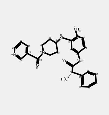 Cc1ccc(NC(=O)[C@@H](C)c2ccccc2)cc1OC1CCN(C(=O)c2cccnc2)CC1